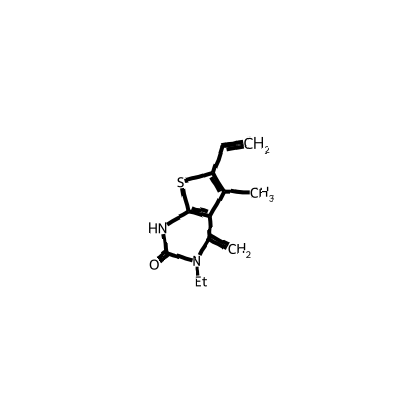 C=Cc1sc2c(c1C)C(=C)N(CC)C(=O)N2